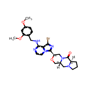 COc1ccc(CNc2nccn3c([C@H]4CN5C(=O)[C@H]6CCCN6C[C@@H]5CO4)nc(Br)c23)c(OC)c1